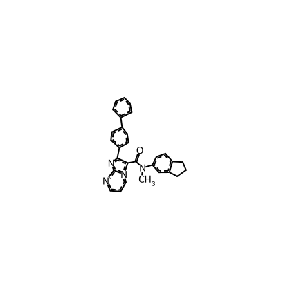 CN(C(=O)c1c(-c2ccc(-c3ccccc3)cc2)nc2ncccn12)c1ccc2c(c1)CCC2